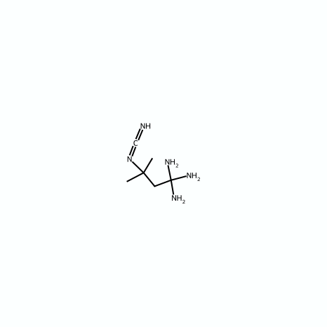 CC(C)(CC(N)(N)N)N=C=N